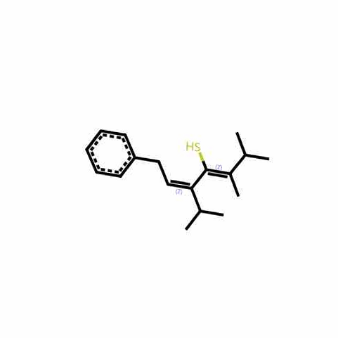 C/C(=C(S)\C(=C/Cc1ccccc1)C(C)C)C(C)C